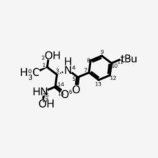 C[C@@H](O)[C@H](NC(=O)c1ccc(C(C)(C)C)cc1)C(=O)NO